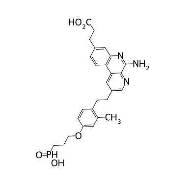 Cc1cc(OCCC[PH](=O)O)ccc1CCc1cnc2c(N)nc3cc(CCC(=O)O)ccc3c2c1